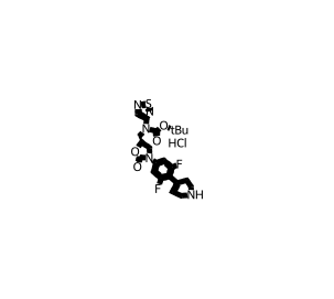 CC(C)(C)OC(=O)N(C[C@H]1CN(c2cc(F)c(C3=CCNCC3)c(F)c2)C(=O)O1)c1cnsn1.Cl